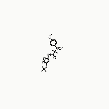 COc1ccc([S+]([O-])C(C)(C)C(=O)Nc2cc(CC(C)(C)C)no2)cc1